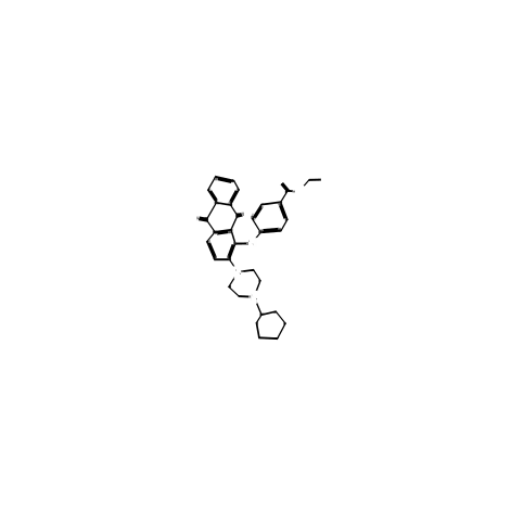 CCOC(=O)c1ccc(Nc2c(N3CCN(C4CCCCC4)CC3)ccc3c2C(=O)c2ccccc2C3=O)cc1